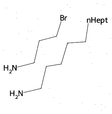 CCCCCCCCCCCCN.NCCCBr